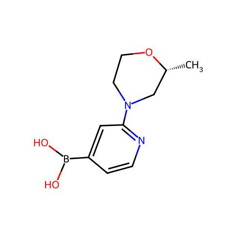 C[C@@H]1CN(c2cc(B(O)O)ccn2)CCO1